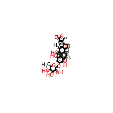 C[C@@H]1O[C@@H](O[C@H]2C[C@@H](O)[C@]3(C)[C@H]4[C@H](O)C[C@]5(C)[C@@H](C6=CC(=O)OC6)CCC5(O)[C@@H]4CC[C@]3(O)C2)[C@H](O)[C@H](O)[C@@H]1O